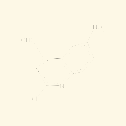 O=Cc1nc(Cl)nc2ccc([N+](=O)[O-])cc12